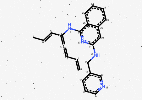 C=CC=C=C(/C=C/C)Nc1nc(NCc2cccnc2)cc2ccccc12